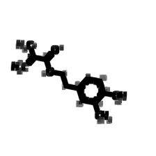 C=C(C)C(=O)OCCc1ccc(O)c(C)c1